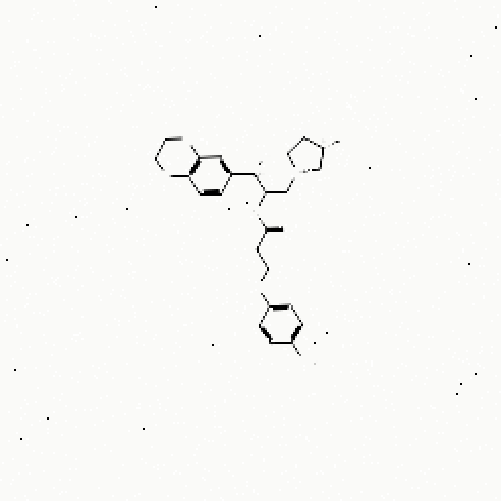 COc1ccc(OCCC(=O)NC(CN2CC[C@@H](F)C2)[C@H](O)c2ccc3c(c2)OCCO3)cc1